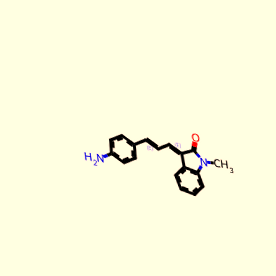 CN1C(=O)/C(=C/C=C/c2ccc(N)cc2)c2ccccc21